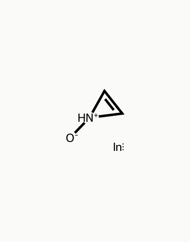 [In].[O-][NH+]1C=C1